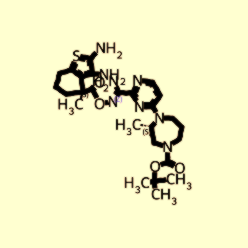 C[C@H]1CN(C(=O)OC(C)(C)C)CCCN1c1ccnc(/C(N)=N/OC(=O)[C@@]2(C)CCCc3sc(N)c(N)c32)n1